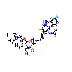 C[C@@H](C(=O)NCCCC#Cc1cnc(Nc2ccnc(F)c2)nc1NC1CC1)N(C)C(=O)/C=C/CN(C)C